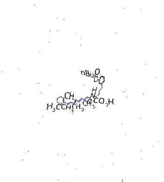 CCCCC(=O)Oc1cccc(CCCC(NC(=O)/C=C(C)/C=C/C=C(C)/C=C/C2=C(C)CCCC2(C)C)C(=O)O)c1